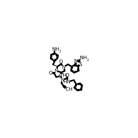 C#CCN(C(=O)NCc1ccccc1)N1CC(=O)N2[C@@H](Cc3ccc(N)cc3)C(=O)N(Cc3cccc4sc(N)nc34)C[C@@H]21